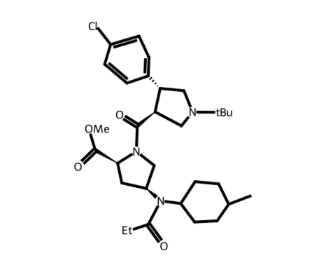 CCC(=O)N(C1CCC(C)CC1)[C@H]1C[C@@H](C(=O)OC)N(C(=O)[C@@H]2CN(C(C)(C)C)C[C@H]2c2ccc(Cl)cc2)C1